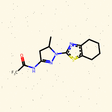 CC1CC(NC(=O)C(F)(F)F)=NN1c1nc2c(s1)CCCC2